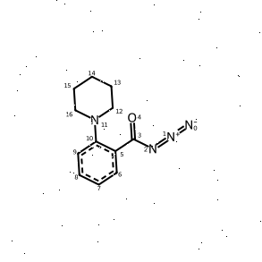 [N-]=[N+]=NC(=O)c1ccccc1N1CCCCC1